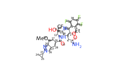 CCOc1c(CC(N)=O)cc([C@@](O)(CNC(=O)c2cc(OC)c3nn(C4CC4)cc3c2)C(F)(F)F)nc1-c1cc(F)c(F)cc1F